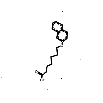 O=C(O)CCCCCCOc1ccc2ccccc2c1